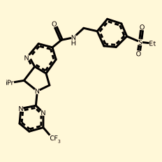 CCS(=O)(=O)c1ccc(CNC(=O)c2cnc3c(c2)CN(c2nccc(C(F)(F)F)n2)C3C(C)C)cc1